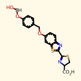 O=C(O)C1CSC(c2nc3ccc(OCc4ccc(OBO)cc4)cc3s2)=N1